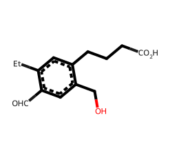 CCc1cc(CCCC(=O)O)c(CO)cc1C=O